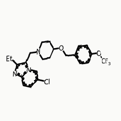 CCc1nc2ccc(Cl)cn2c1CN1CCC(OCc2ccc(OC(F)(F)F)cc2)CC1